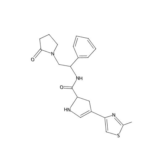 Cc1nc(C2=CNC(C(=O)NC(CN3CCCC3=O)c3ccccc3)C2)cs1